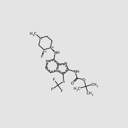 CN1CC[C@@H](Nc2nccn3c(SC(F)(F)F)c(NC(=O)OC(C)(C)C)nc23)[C@@H](F)C1